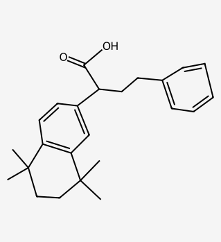 CC1(C)CCC(C)(C)c2cc(C(CCc3ccccc3)C(=O)O)ccc21